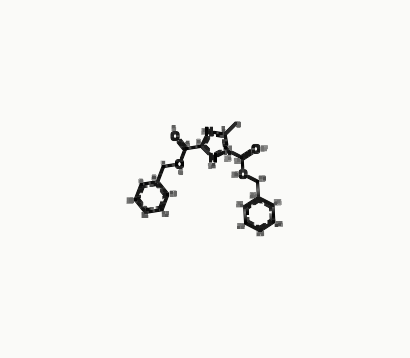 Cc1nc(C(=O)OCc2ccccc2)nn1C(=O)OCc1ccccc1